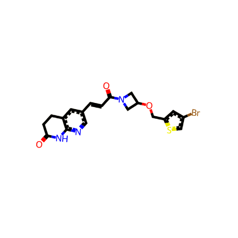 O=C1CCc2cc(C=CC(=O)N3CC(OCc4cc(Br)cs4)C3)cnc2N1